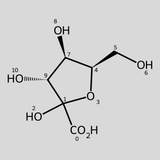 O=C(O)C1(O)O[C@H](CO)[C@H](O)[C@H]1O